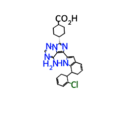 Nc1ncnn2c1c(-c1cc3c([nH]1)C(C1CC=CC=C1Cl)CC=C3)nc2[C@H]1CC[C@H](C(=O)O)CC1